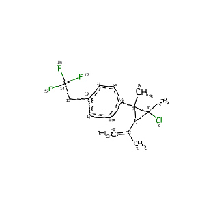 C=C(C)C1C(C)(Cl)C1(C)c1ccc(CC(F)(F)F)cc1